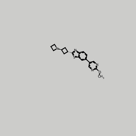 COc1ncc(-c2ccc3nc([C@H]4C[C@H](N5CCC5)C4)sc3c2)cn1